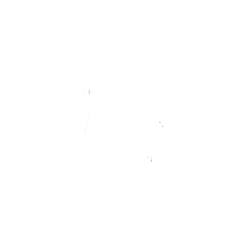 FC(F)(F)C1CC1c1cncnc1